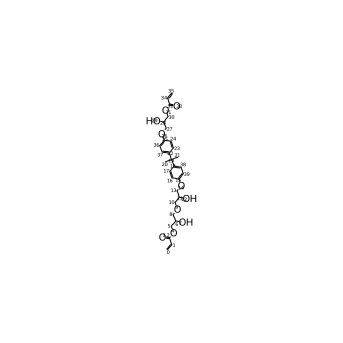 C=CC(=O)OCC(O)COCC(O)COc1ccc(C(C)(C)c2ccc(OCC(O)COC(=O)C=C)cc2)cc1